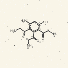 NCC(=O)c1c(N)cc(O)c(C(=O)CN)c1C(=O)CN